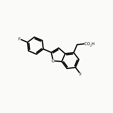 O=C(O)Cc1cc(F)cc2oc(-c3ccc(F)cc3)cc12